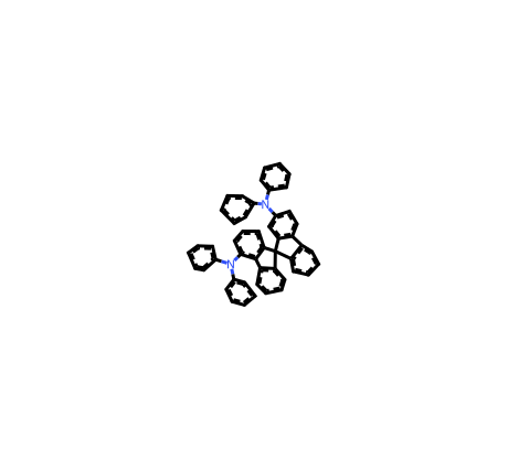 c1ccc(N(c2ccccc2)c2ccc3c(c2)C2(c4ccccc4-3)c3ccccc3-c3c(N(c4ccccc4)c4ccccc4)cccc32)cc1